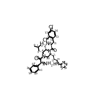 CC(C)C[C@@H]1CN(C(=O)[C@H](N)Cc2ccc(Cl)cc2Cl)[C@@H](CCCNc2nncs2)CN1C(=O)[C@@H](N)c1ccccc1